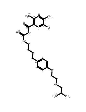 CC(N)CNCCOc1ccc(CCCCNC(=N)NC(=O)c2nc(Cl)c(N)nc2N)cc1